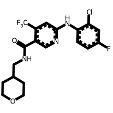 O=C(NCC1CCOCC1)c1cnc(Nc2ccc(F)cc2Cl)cc1C(F)(F)F